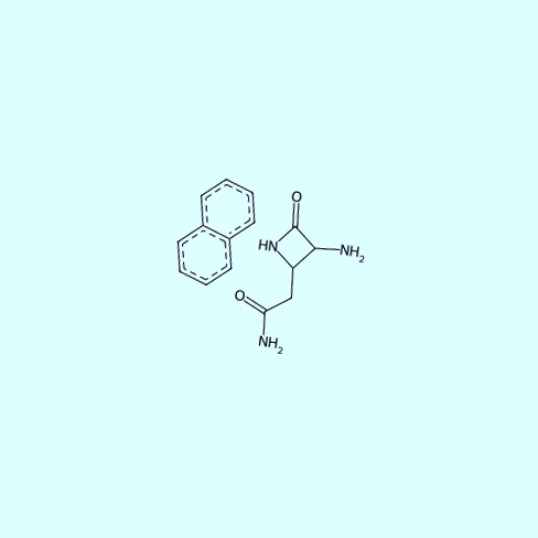 NC(=O)CC1NC(=O)C1N.c1ccc2ccccc2c1